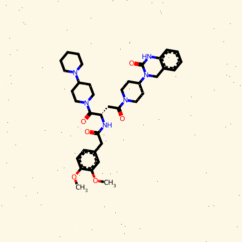 COc1ccc(CC(=O)N[C@@H](CC(=O)N2CCC(N3Cc4ccccc4NC3=O)CC2)C(=O)N2CCC(N3CCCCC3)CC2)cc1OC